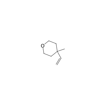 C=CC1(C)CCOCC1